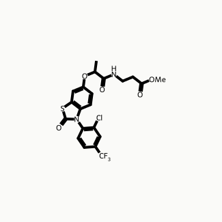 COC(=O)CCNC(=O)C(C)Oc1ccc2c(c1)sc(=O)n2-c1ccc(C(F)(F)F)cc1Cl